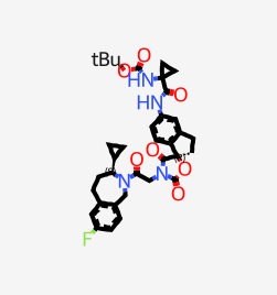 CC(C)(C)OC(=O)NC1(C(=O)Nc2ccc3c(c2)CC[C@@]32OC(=O)N(CC(=O)N3Cc4ccc(F)cc4CC[C@H]3C3CC3)C2=O)CC1